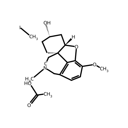 CC(=O)O.CI.COc1ccc2c3c1O[C@H]1C[C@@H](O)CC[C@@]31CCN(C)C2